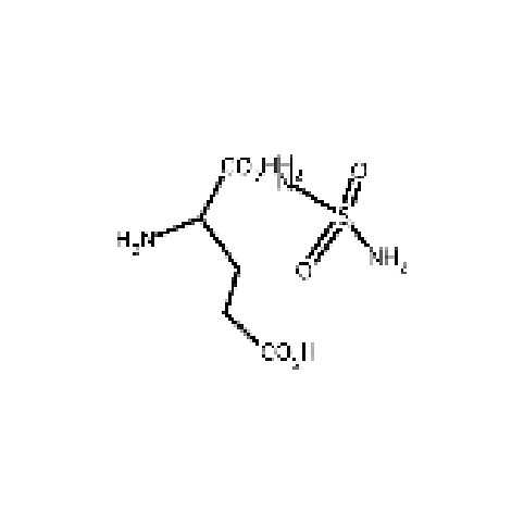 NC(CCC(=O)O)C(=O)O.NS(N)(=O)=O